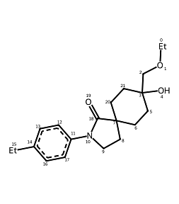 CCOCC1(O)CCC2(CCN(c3ccc(CC)cc3)C2=O)CC1